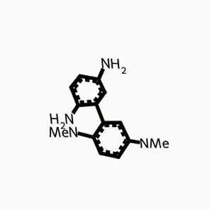 CNc1ccc(NC)c(-c2cc(N)ccc2N)c1